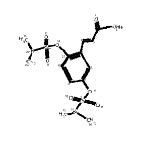 COC(=O)/C=C/c1cc(OS(=O)(=O)N(C)C)ccc1OS(=O)(=O)N(C)C